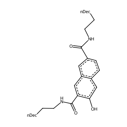 CCCCCCCCCCCCNC(=O)c1ccc2cc(O)c(C(=O)NCCCCCCCCCCCC)cc2c1